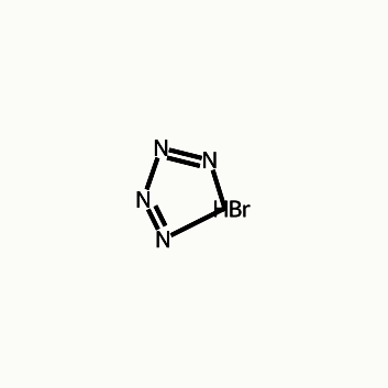 Br.C1N=NN=N1